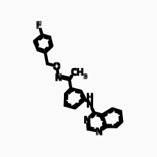 CC(=NOCc1ccc(F)cc1)c1cccc(Nc2ncnc3ccccc23)c1